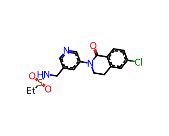 CCS(=O)(=O)NCc1cncc(N2CCc3cc(Cl)ccc3C2=O)c1